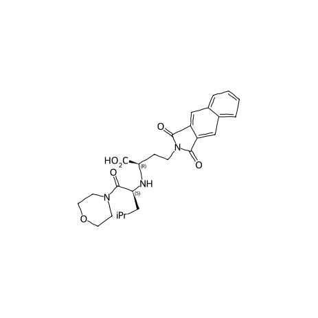 CC(C)C[C@H](N[C@H](CCN1C(=O)c2cc3ccccc3cc2C1=O)C(=O)O)C(=O)N1CCOCC1